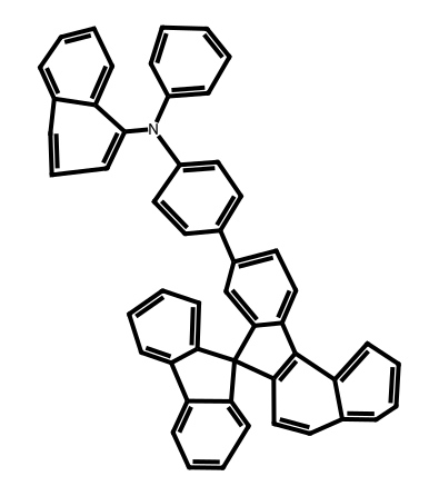 c1ccc(N(c2ccc(-c3ccc4c(c3)C3(c5ccccc5-c5ccccc53)c3ccc5ccccc5c3-4)cc2)c2cccc3ccccc23)cc1